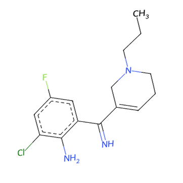 CCCN1CCC=C(C(=N)c2cc(F)cc(Cl)c2N)C1